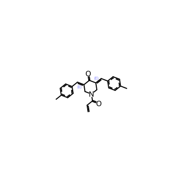 C=CC(=O)N1C/C(=C\c2ccc(C)cc2)C(=O)/C(=C/c2ccc(C)cc2)C1